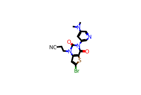 CN(C)c1cncc(-n2c(=O)c3sc(Br)cc3n(CCC#N)c2=O)c1